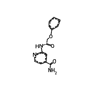 NC(=O)c1ccnc(NC(=O)COc2ccccc2)c1